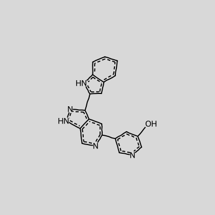 Oc1cncc(-c2cc3c(-c4cc5ccccc5[nH]4)n[nH]c3cn2)c1